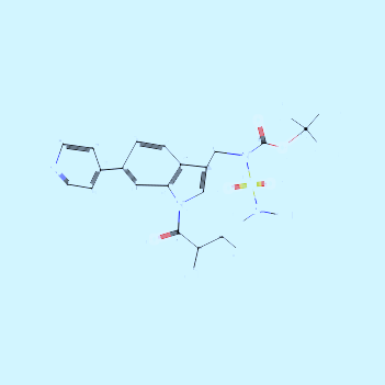 CCC(C)C(=O)n1cc(CN(C(=O)OC(C)(C)C)S(=O)(=O)N(C)C)c2ccc(-c3ccncc3)cc21